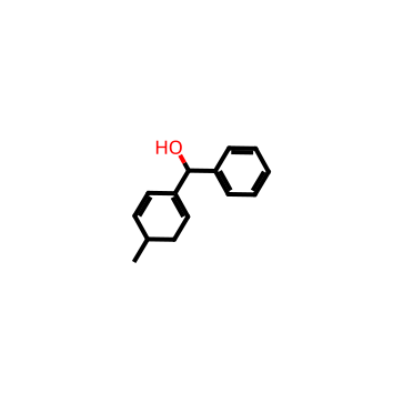 CC1C=CC(C(O)c2ccccc2)=CC1